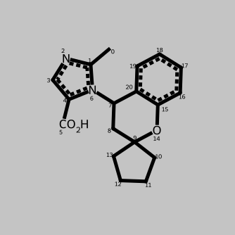 Cc1ncc(C(=O)O)n1C1CC2(CCCC2)Oc2ccccc21